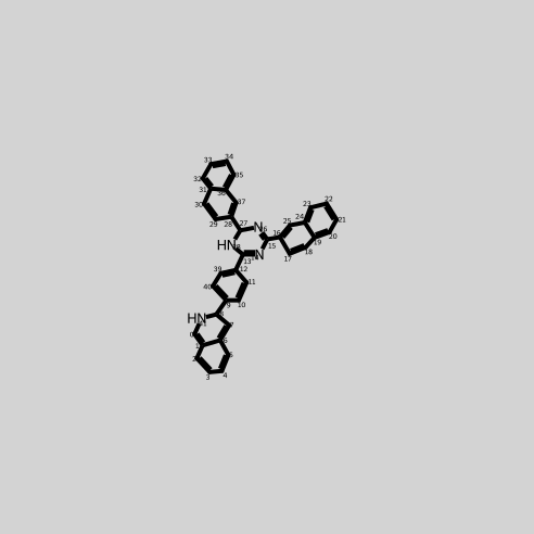 C1=c2ccccc2=CC(c2ccc(C3=NC(c4ccc5ccccc5c4)=NC(c4ccc5ccccc5c4)N3)cc2)N1